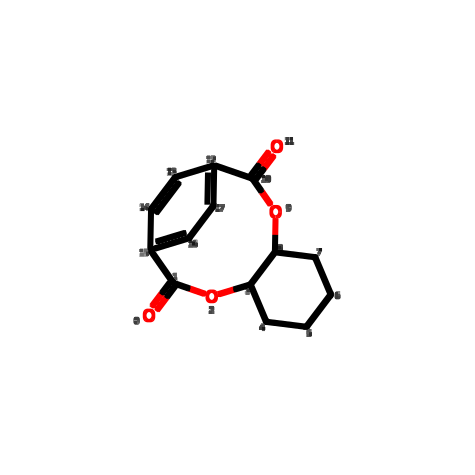 O=C1OC2CCCCC2OC(=O)c2ccc1cc2